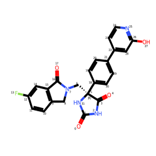 O=C1NC(=O)[C@](CN2Cc3ccc(F)cc3C2=O)(c2ccc(-c3ccnc(O)c3)cc2)N1